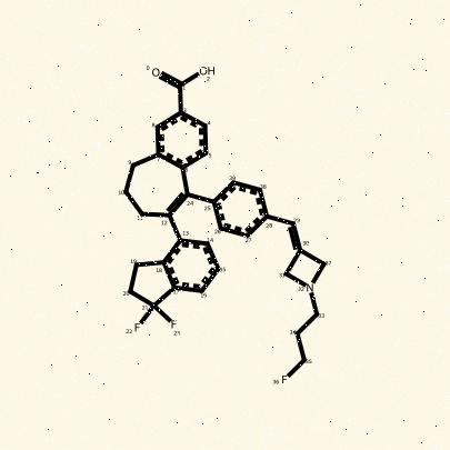 O=C(O)c1ccc2c(c1)CCCC(c1cccc3c1CCC3(F)F)=C2c1ccc(C=C2CN(CCCF)C2)cc1